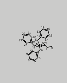 CC[S][Sn]([CH2]c1ccccc1)([CH2]c1ccccc1)[CH2]c1ccccc1